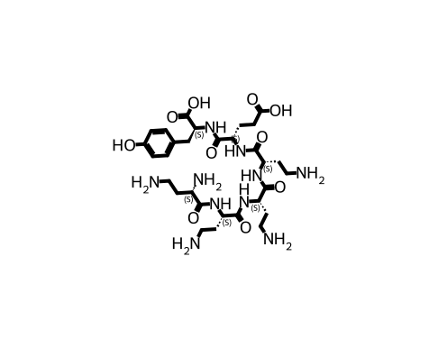 NCC[C@H](NC(=O)[C@H](CCN)NC(=O)[C@H](CCN)NC(=O)[C@@H](N)CCN)C(=O)N[C@@H](CCC(=O)O)C(=O)N[C@@H](Cc1ccc(O)cc1)C(=O)O